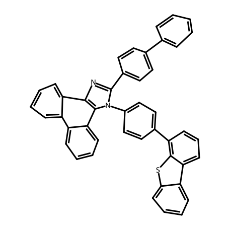 c1ccc(-c2ccc(-c3nc4c5ccccc5c5ccccc5c4n3-c3ccc(-c4cccc5c4sc4ccccc45)cc3)cc2)cc1